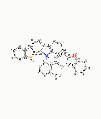 N#Cc1cccc(-n2c3c(c4ccc5c6ccccc6sc5c42)C=CCC3)c1-c1c#cc2oc3ccccc3c2c1